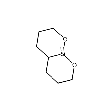 C1CO[SiH]2OCCCC2C1